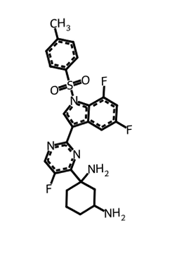 Cc1ccc(S(=O)(=O)n2cc(-c3ncc(F)c(C4(N)CCCC(N)C4)n3)c3cc(F)cc(F)c32)cc1